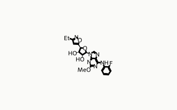 CCc1cc([C@H]2O[C@@H](n3cnc4c(Nc5ccccc5F)nc(OC)nc43)[C@H](O)[C@@H]2O)on1